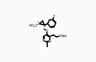 COCCc1nc(C)ncc1OC[C@@]1(C2C=CC=C(F)C2)C[C@H]1C(=O)O